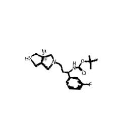 CC(C)(C)OC(=O)NC(CCN1CC2CNC[C@H]2C1)c1cccc(F)c1